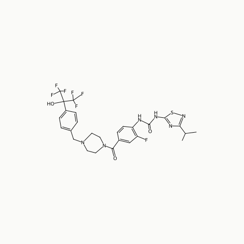 CC(C)c1nsc(NC(=O)Nc2ccc(C(=O)N3CCN(Cc4ccc(C(O)(C(F)(F)F)C(F)(F)F)cc4)CC3)cc2F)n1